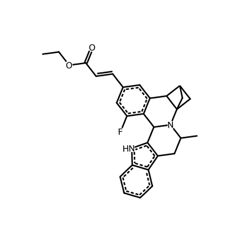 CCOC(=O)/C=C/c1cc(F)c2c(c1)C1C3CC1(C3)N1C(C)Cc3c([nH]c4ccccc34)C21